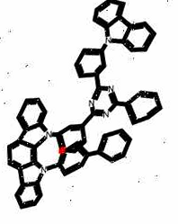 c1ccc(-c2ccc(-n3c4ccccc4c4ccc5c6ccccc6n(-c6cccc(-c7nc(-c8ccccc8)nc(-c8cccc(-n9c%10ccccc%10c%10ccccc%109)c8)n7)c6)c5c43)cc2)cc1